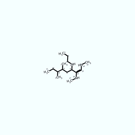 CCCNC(CC(C)C(C)CC)/C(=C\NC)NC